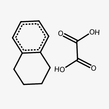 O=C(O)C(=O)O.c1ccc2c(c1)CCCC2